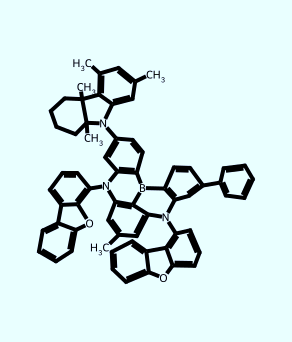 Cc1cc2c3c(c1)N(c1cccc4oc5ccccc5c14)c1cc(-c4ccccc4)ccc1B3c1ccc(N3c4cc(C)cc(C)c4C4(C)CCCCC34C)cc1N2c1cccc2c1oc1ccccc12